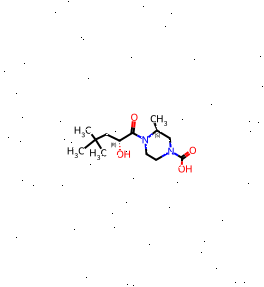 C[C@H]1CN(C(=O)O)CCN1C(=O)[C@H](O)CC(C)(C)C